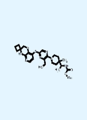 CC(NC(=O)OC(C)(C)C)C1(C)CCN(c2ncc(Sc3ccnc4c3OCC3(CCC3)N4)nc2CO)CC1